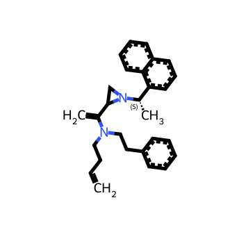 C=CCCN(CCc1ccccc1)C(=C)C1CN1[C@@H](C)c1cccc2ccccc12